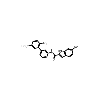 O=C(O)c1ccc(C(F)(F)F)c(-c2cccc(NC(=O)c3cc4ccc([N+](=O)[O-])cc4[nH]3)c2)c1